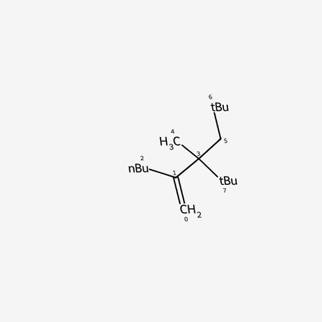 C=C(CCCC)C(C)(CC(C)(C)C)C(C)(C)C